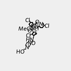 COc1cc(Cl)cc(C(=O)Nc2ccc(Cl)cn2)c1NC(=O)c1scc(CNC(=O)[N+]2(C)CCN(CCO)CC2)c1Cl